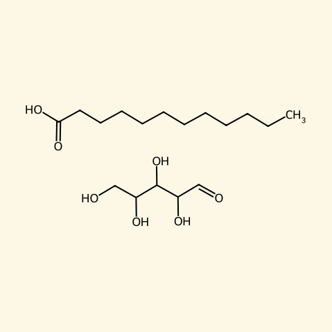 CCCCCCCCCCCC(=O)O.O=CC(O)C(O)C(O)CO